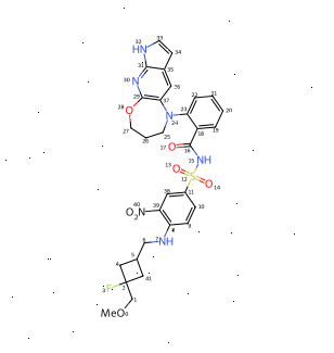 COCC1(F)CC(CNc2ccc(S(=O)(=O)NC(=O)c3ccccc3N3CCCOc4nc5[nH]ccc5cc43)cc2[N+](=O)[O-])C1